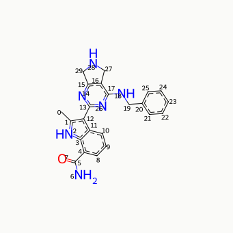 Cc1[nH]c2c(C(N)=O)cccc2c1-c1nc2c(c(NCc3ccccc3)n1)CNC2